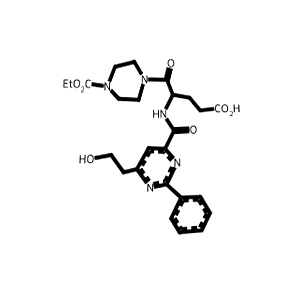 CCOC(=O)N1CCN(C(=O)C(CCC(=O)O)NC(=O)c2cc(CCO)nc(-c3ccccc3)n2)CC1